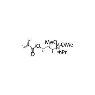 C=C(C)C(=O)OCCC[Si](CCC)(OC)OC